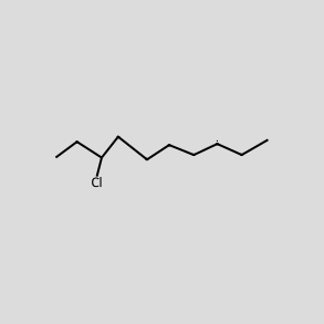 CC[CH]CCCCC(Cl)CC